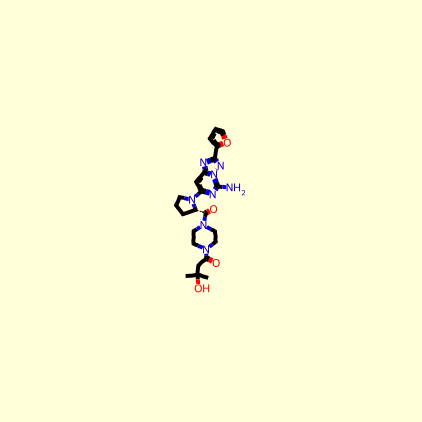 CC(C)(O)CC(=O)N1CCN(C(=O)[C@@H]2CCCN2c2cc3nc(-c4ccco4)nn3c(N)n2)CC1